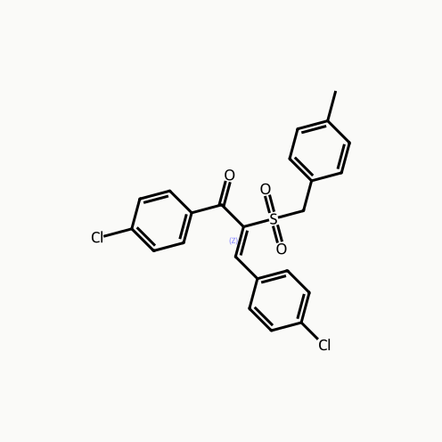 Cc1ccc(CS(=O)(=O)/C(=C\c2ccc(Cl)cc2)C(=O)c2ccc(Cl)cc2)cc1